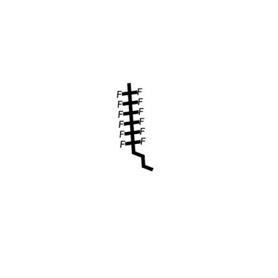 CCCCC(F)(F)C(F)(F)C(F)(F)C(F)(F)C(F)(F)C(C)(F)F